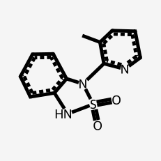 Cc1cccnc1N1c2ccccc2NS1(=O)=O